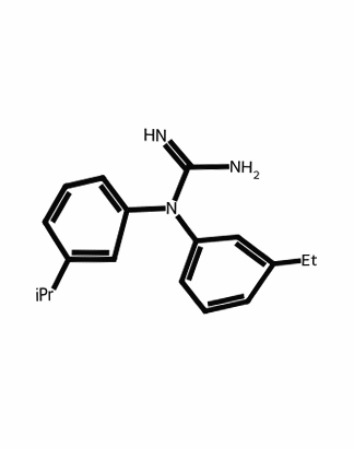 CCc1cccc(N(C(=N)N)c2cccc(C(C)C)c2)c1